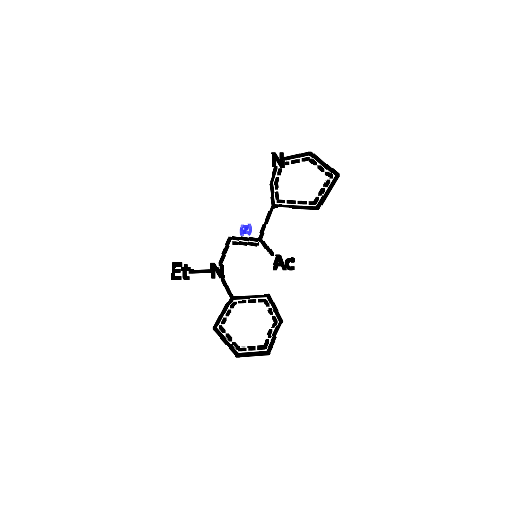 CCN(/C=C(\C(C)=O)c1cccnc1)c1ccccc1